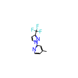 Cc1ccnc(-n2ccc(C(F)(F)F)n2)c1